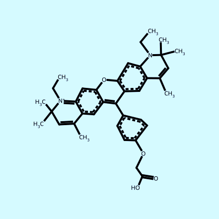 CCN1c2cc3c(cc2C(C)=CC1(C)C)C(c1ccc(OCC(=O)O)cc1)=c1cc2c(cc1O3)=[N+](CC)C(C)(C)C=C2C